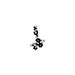 CC(C)(F)CN1CCC(COc2ccc(-c3ccccc3C(=O)N3CCC[C@H]3C(N)=O)c(C#N)c2)CC1